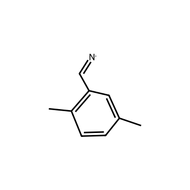 Cc1ccc(C)c(C=[N])c1